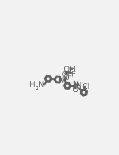 NCc1cccc(C2CCN(C(=O)c3cccc(-c4nnc(-c5ccccc5Cl)o4)c3)CC2)c1.O=C(O)C(F)(F)F